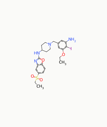 CCOc1cc(CN2CCC(Nc3nc4cc(S(=O)(=O)CC)ccc4o3)CC2)cc(N)c1I